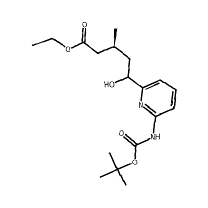 CCOC(=O)C[C@@H](C)CC(O)c1cccc(NC(=O)OC(C)(C)C)n1